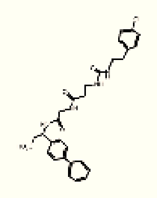 O=C(O)CC(NC(=O)CNC(=O)CCNC(=O)NCCc1ccc(Cl)cc1)c1ccc(-c2ccccc2)cc1